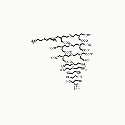 NCCOCCN.NCCOCCN.NCCOCCN.O=C([O-])CN(CCOCCN(CC(=O)[O-])CC(=O)[O-])CC(=O)[O-].O=C([O-])CN(CCOCCN(CC(=O)[O-])CC(=O)[O-])CC(=O)[O-].O=C([O-])CN(CCOCCN(CC(=O)[O-])CC(=O)[O-])CC(=O)[O-].OCCO.OCCO.OCCO.[Fe+3].[Fe+3].[Fe+3].[Fe+3]